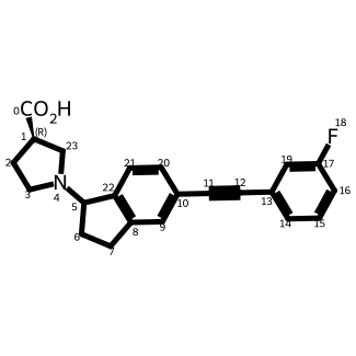 O=C(O)[C@@H]1CCN(C2CCc3cc(C#Cc4cccc(F)c4)ccc32)C1